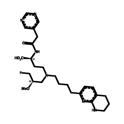 CO[C@H](CF)CN(CCCCc1ccc2c(n1)NCCC2)CC[C@H](NC(=O)Cc1cncnc1)C(=O)O